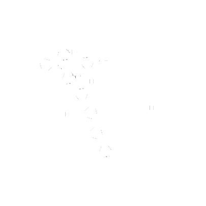 CCCCCCCCC1(CCCCCCCC)c2ccccc2-c2ccc(-c3ccc4c(c3)C(C)(C)c3cc(-c5ccc6c(c5)B(c5c(C)cc(C)cc5C)c5cccc7c8ccccc8n-6c57)c(C)cc3-4)cc21